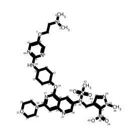 CN(C)CCOc1cnc(NC2CCC(Oc3nc(N4CCOCC4)cc4ncc(N(Cc5cnn(C)c5[N+](=O)[O-])S(C)(=O)=O)cc34)CC2)nc1